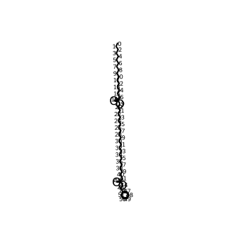 CCCCCCCCCCCCCCCCCC(=O)OCCCCCCCCCCCCCCCCCCCCCCC(=O)OCc1ccccc1